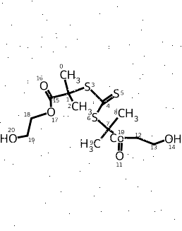 CC(C)(SC(=S)S[C](C)(C)[Co](=[O])[CH2]CO)C(=O)OCCO